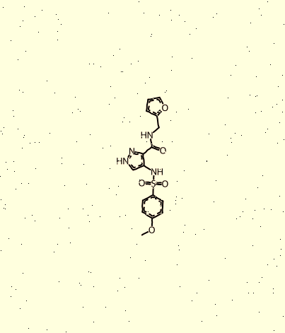 COc1ccc(S(=O)(=O)Nc2c[nH]nc2C(=O)NCc2ccco2)cc1